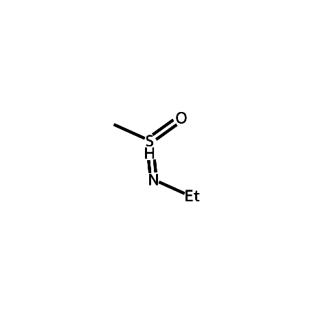 CC/N=[SH](/C)=O